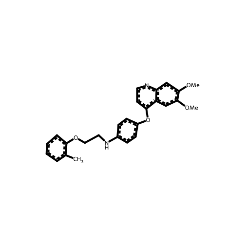 COc1cc2nccc(Oc3ccc(NCCOc4ccccc4C)cc3)c2cc1OC